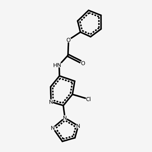 O=C(Nc1cnc(-n2nccn2)c(Cl)c1)Oc1ccccc1